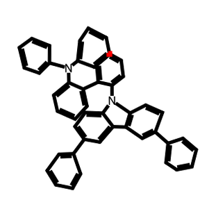 c1ccc(-c2ccc3c(c2)c2cc(-c4ccccc4)ccc2n3-c2ccccc2-c2ccccc2N(c2ccccc2)c2ccccc2)cc1